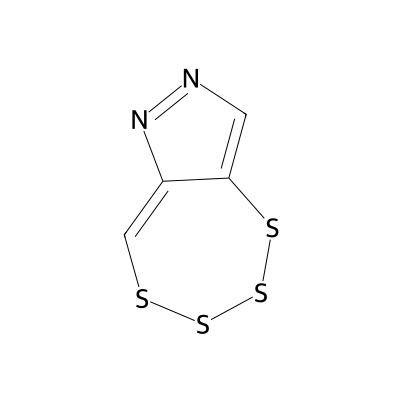 c1ssssc2cnnc1-2